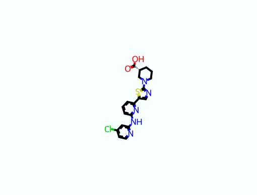 O=C(O)[C@@H]1CCCN(c2ncc(-c3cccc(Nc4cc(Cl)ccn4)n3)s2)C1